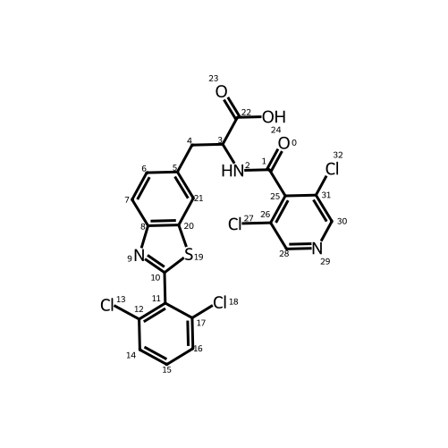 O=C(NC(Cc1ccc2nc(-c3c(Cl)cccc3Cl)sc2c1)C(=O)O)c1c(Cl)cncc1Cl